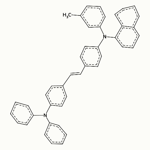 Cc1cccc(N(c2ccc(/C=C/c3ccc(N(c4ccccc4)c4ccccc4)cc3)cc2)c2cccc3ccccc23)c1